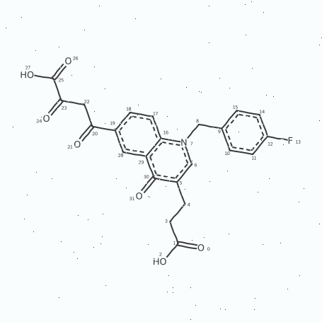 O=C(O)CCc1cn(Cc2ccc(F)cc2)c2ccc(C(=O)CC(=O)C(=O)O)cc2c1=O